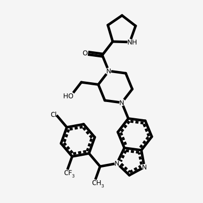 CC(c1ccc(Cl)cc1C(F)(F)F)n1cnc2ccc(N3CCN(C(=O)C4CCCN4)C(CO)C3)cc21